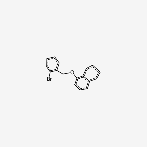 Brc1ccccc1COc1cccc2ccccc12